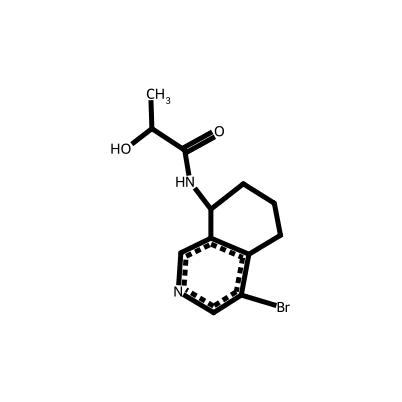 CC(O)C(=O)NC1CCCc2c(Br)cncc21